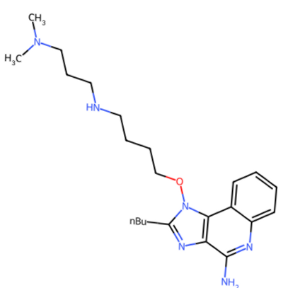 CCCCc1nc2c(N)nc3ccccc3c2n1OCCCCNCCCN(C)C